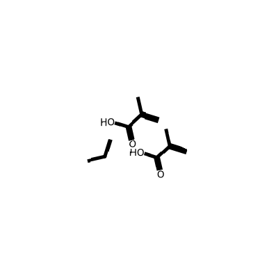 C=C(C)C(=O)O.C=C(C)C(=O)O.CCC